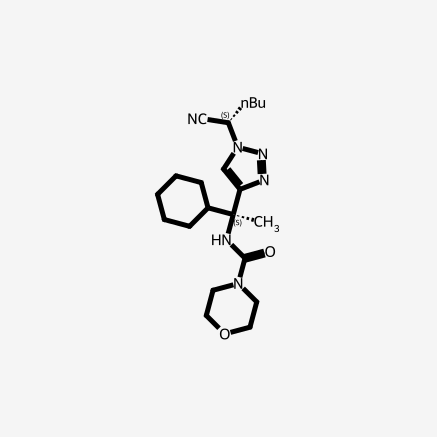 CCCC[C@@H](C#N)n1cc([C@@](C)(NC(=O)N2CCOCC2)C2CCCCC2)nn1